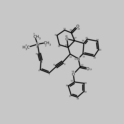 C[Si](C)(C)C#C/C=C\C#CC1N(C(=O)Oc2ccccc2)c2ccccc2C23OC12CCCC3=O